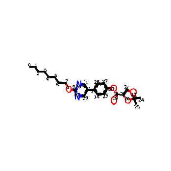 CCCCCCCCOc1ncc(-c2ccc(OC(=O)[C@H]3COC(C)(C)O3)cc2)cn1